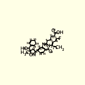 C=C/C(=C\C=C\F)n1c(CCCCC(=O)O)nc2cc(C3=NO[C@](C)([C@@H](O)C4=CCCC=C4)C3)ccc2c1=O